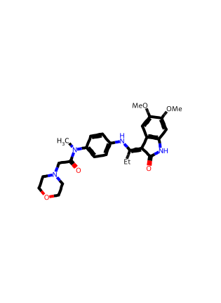 CCC(Nc1ccc(N(C)C(=O)CN2CCOCC2)cc1)=C1C(=O)Nc2cc(OC)c(OC)cc21